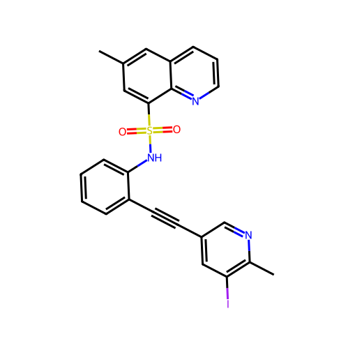 Cc1cc(S(=O)(=O)Nc2ccccc2C#Cc2cnc(C)c(I)c2)c2ncccc2c1